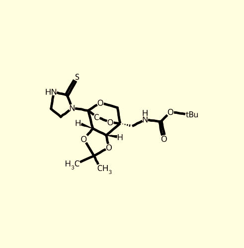 CC(C)(C)OC(=O)NC[C@@]12COC(N3CCNC3=S)(CO1)[C@H]1OC(C)(C)O[C@H]12